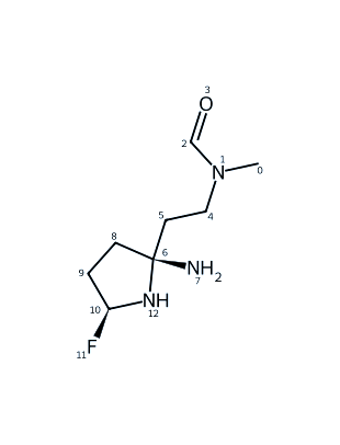 CN(C=O)CC[C@@]1(N)CC[C@H](F)N1